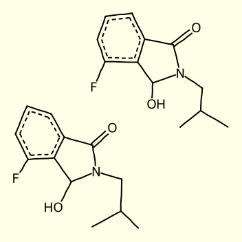 CC(C)CN1C(=O)c2cccc(F)c2C1O.CC(C)CN1C(=O)c2cccc(F)c2C1O